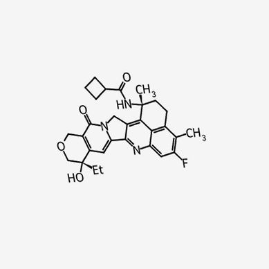 CC[C@@]1(O)COCc2c1cc1n(c2=O)Cc2c-1nc1cc(F)c(C)c3c1c2[C@](C)(NC(=O)C1CCC1)CC3